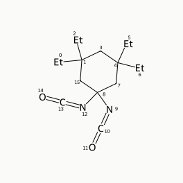 CCC1(CC)CC(CC)(CC)CC(N=C=O)(N=C=O)C1